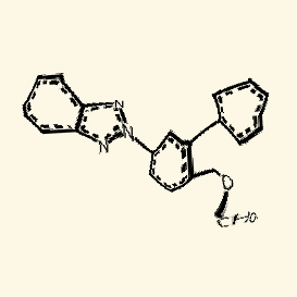 O=[C]Oc1ccc(-n2nc3ccccc3n2)cc1-c1ccccc1